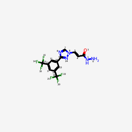 NNC(=O)C=Cn1cnc(-c2cc(C(F)(F)F)cc(C(F)(F)F)c2)n1